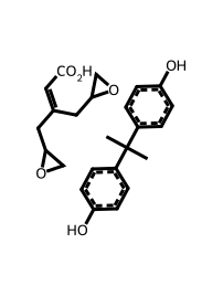 CC(C)(c1ccc(O)cc1)c1ccc(O)cc1.O=C(O)C=C(CC1CO1)CC1CO1